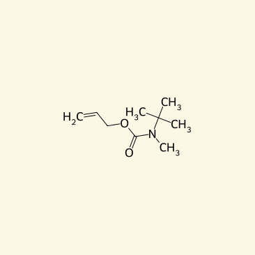 C=CCOC(=O)N(C)C(C)(C)C